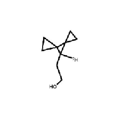 [2H]C1(CCO)C2(CC2)C12CC2